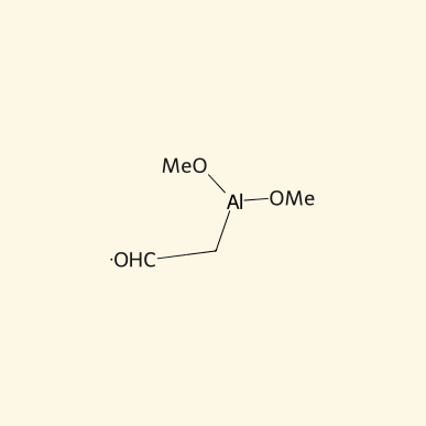 C[O][Al]([CH2][C]=O)[O]C